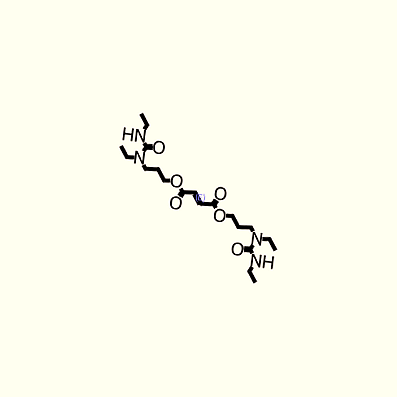 CCNC(=O)N(CC)CCCOC(=O)/C=C/C(=O)OCCCN(CC)C(=O)NCC